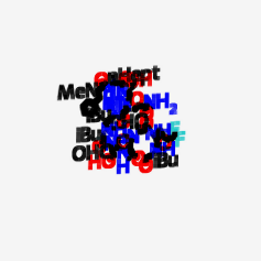 CCCCCCC[C@H](NC(=O)[C@@H](Cc1ccccc1)NC)C(=O)N[C@@H](CO)C(=O)N[C@H](CCC(N)=O)C(=O)N[C@@](C=O)(CN[C@H](C(=O)N[C@](C=O)(CO)CN[C@H]1C(=O)N[C@@H](C)C(=O)NC2(CC2CC(F)F)C(=O)N[C@@H]([C@@H](C)CC)C(=O)O[C@H]1C)[C@@H](C)CC)[C@@H](C)CC